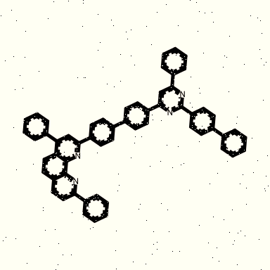 c1ccc(-c2ccc(-c3nc(-c4ccccc4)cc(-c4ccc(-c5ccc(-c6cc(-c7ccccc7)c7ccc8ccc(-c9ccccc9)nc8c7n6)cc5)cc4)n3)cc2)cc1